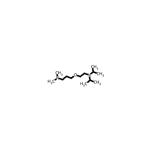 CC(C)N(CCOCCCN(C)C)C(C)C